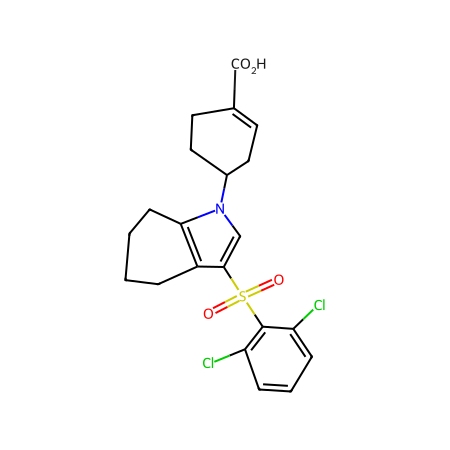 O=C(O)C1=CCC(n2cc(S(=O)(=O)c3c(Cl)cccc3Cl)c3c2CCCC3)CC1